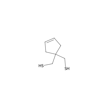 SCC1(CS)CC=CC1